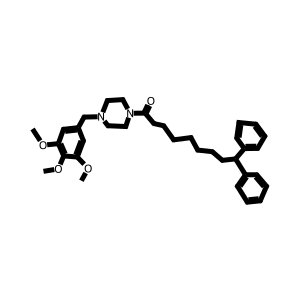 COc1cc(CN2CCN(C(=O)CCCCCCCC(c3ccccc3)c3ccccc3)CC2)cc(OC)c1OC